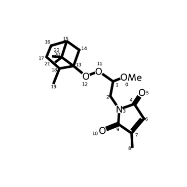 COC(CN1C(=O)C=C(C)C1=O)OOC12CC(CCC1C)C2(C)C